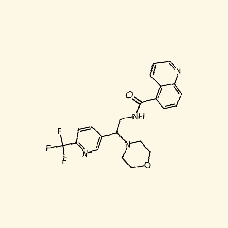 O=C(NCC(c1ccc(C(F)(F)F)nc1)N1CCOCC1)c1cccc2ncccc12